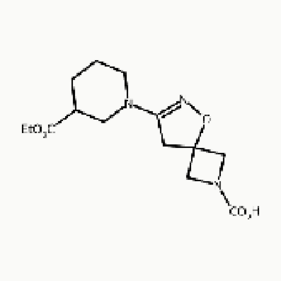 CCOC(=O)C1CCCN(C2=NOC3(C2)CN(C(=O)O)C3)C1